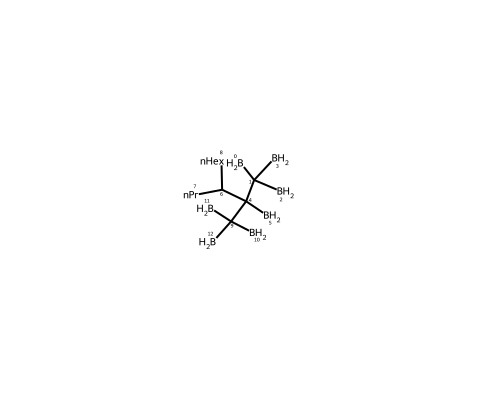 BC(B)(B)C(B)(C(CCC)CCCCCC)C(B)(B)B